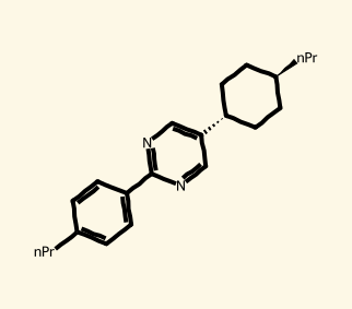 CCCc1ccc(-c2ncc([C@H]3CC[C@H](CCC)CC3)cn2)cc1